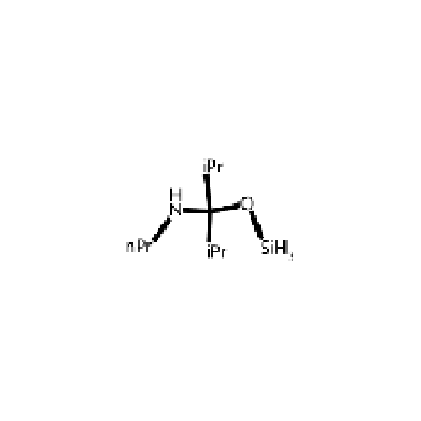 CCCNC(O[SiH3])(C(C)C)C(C)C